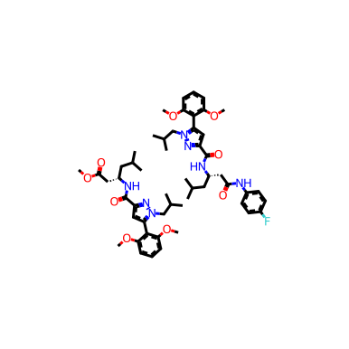 COC(=O)C[C@H](CC(C)C)NC(=O)c1cc(-c2c(OC)cccc2OC)n(CC(C)C)n1.COc1cccc(OC)c1-c1cc(C(=O)N[C@H](CC(=O)Nc2ccc(F)cc2)CC(C)C)nn1CC(C)C